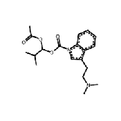 CC(=O)OC(OC(=O)n1cc(CCN(C)C)c2ccccc21)C(C)C